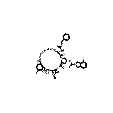 C=C[C@@H]1C[C@@]12NC(=O)[C@@H]1C[C@@H](OC(=O)N3Cc4cccc(F)c4C3)CN1C(=O)[C@@H](NC(=O)OCc1ccccc1)CCCCCCCNc1ccc(F)cc1S(=O)(=O)NC2=O